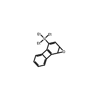 CC[Si](CC)(CC)C1=CC2OC2C2=C1c1ccccc12